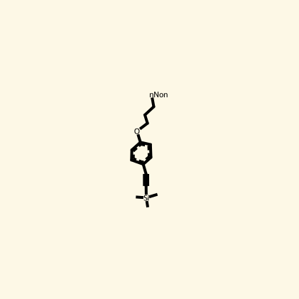 CCCCCCCCCCCCOc1ccc(C#C[Si](C)(C)C)cc1